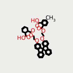 Cc1ccc(C(=O)OCCOc2ccc3c(c2)C2(c4ccccc4-3)c3ccccc3-c3ccc(OCCOC(=O)C4CC=CCC4C(=O)O)cc32)c(C(=O)O)c1